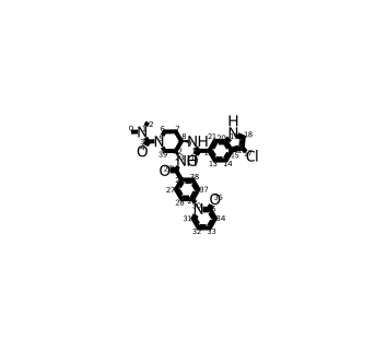 CN(C)C(=O)N1CC[C@@H](NC(=O)c2ccc3c(Cl)c[nH]c3c2)[C@@H](NC(=O)c2ccc(-n3ccccc3=O)cc2)C1